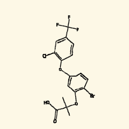 CC(C)(Oc1cc(Oc2ccc(C(F)(F)F)cc2Cl)ccc1Br)C(=O)O